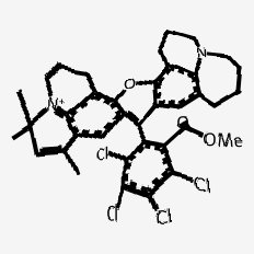 COC(=O)c1c(Cl)c(Cl)c(Cl)c(Cl)c1C1=c2cc3c4c(c2Oc2c1cc1c5c2CCCN5CCCC1)CCC[N+]=4C(C)(C)C=C3C